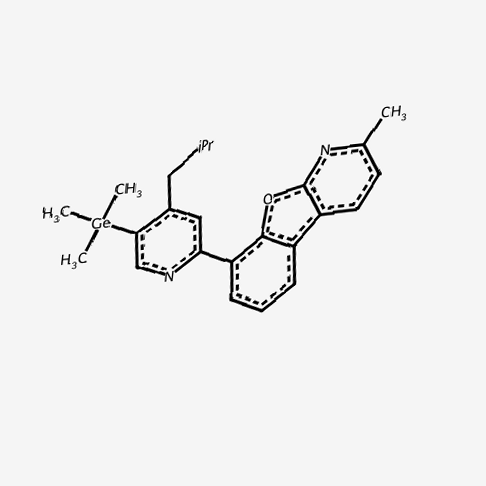 Cc1ccc2c(n1)oc1c(-c3cc(CC(C)C)[c]([Ge]([CH3])([CH3])[CH3])cn3)cccc12